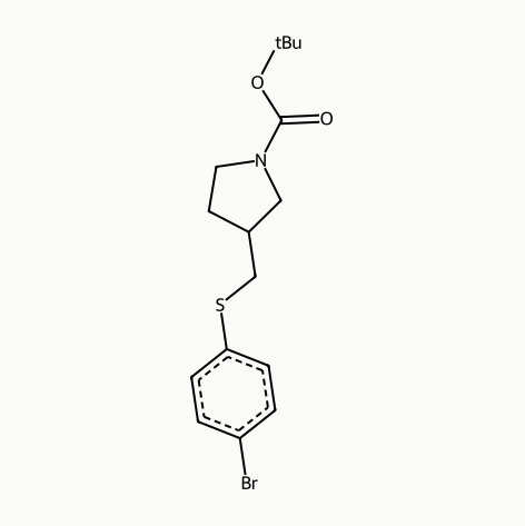 CC(C)(C)OC(=O)N1CCC(CSc2ccc(Br)cc2)C1